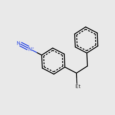 CCC(Cc1ccccc1)c1ccc([N+]#N)cc1